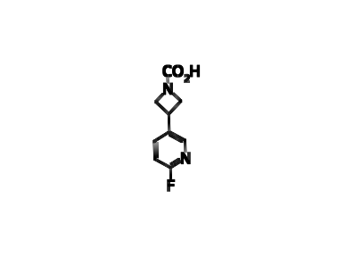 O=C(O)N1CC(c2ccc(F)nc2)C1